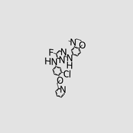 CN1CCOc2ccc(Nc3ncc(F)c(Nc4ccc(OCc5ccccn5)c(Cl)c4)n3)cc21